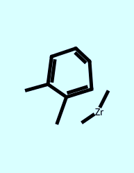 Cc1ccccc1C.[CH3][Zr][CH3]